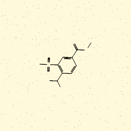 COC(=O)c1ccc(C(F)F)c(S(C)(=O)=O)c1